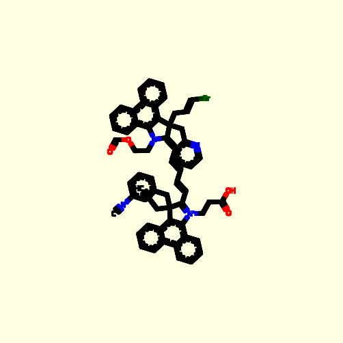 [C-]#[N+]c1cccc(CC2(CC#C)C(/C=C/C=C/C=C3\N(CCOC=O)c4c(c5ccccc5c5ccccc45)C3(C/C=C/Br)Cc3ccccn3)=[N+](CCC(=O)O)c3c2c2ccccc2c2ccccc32)c1